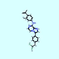 C=C(C)c1ccc(Nc2nccn3c(-c4ccc(CC(F)F)cc4)cnc23)cc1C